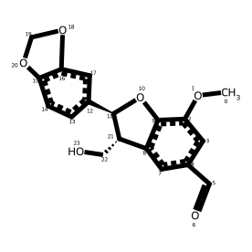 COc1cc(C=O)cc2c1O[C@H](c1ccc3c(c1)OCO3)[C@H]2CO